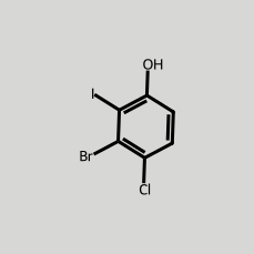 Oc1ccc(Cl)c(Br)c1I